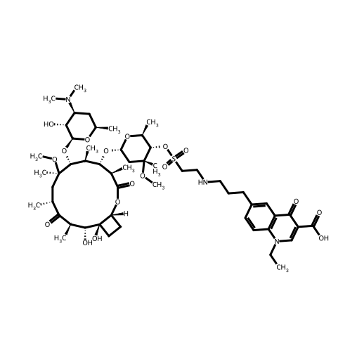 CCn1cc(C(=O)O)c(=O)c2cc(CCCNCCS(=O)(=O)O[C@H]3[C@H](C)O[C@@H](O[C@H]4[C@H](C)[C@@H](O[C@@H]5O[C@H](C)C[C@H](N(C)C)[C@H]5O)[C@](C)(OC)C[C@@H](C)C(=O)[C@H](C)[C@@H](O)[C@@]5(O)CC[C@H]5OC(=O)[C@@H]4C)C[C@@]3(C)OC)ccc21